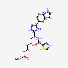 CNC(=O)CCCCC[C@H](NC(=O)c1cncs1)c1ncc(-c2ccc3[nH]ccc3c2)[nH]1